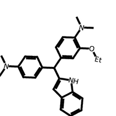 CCOc1cc(C(c2ccc(N(C)C)cc2)c2cc3ccccc3[nH]2)ccc1N(C)C